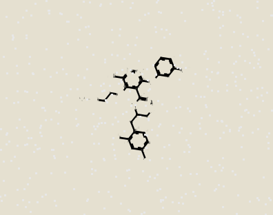 COCCOc1c(Cl)nnc(Oc2cccc(C(F)(F)F)c2)c1C1=NOCC(Cc2ccc(C)cc2C)N1